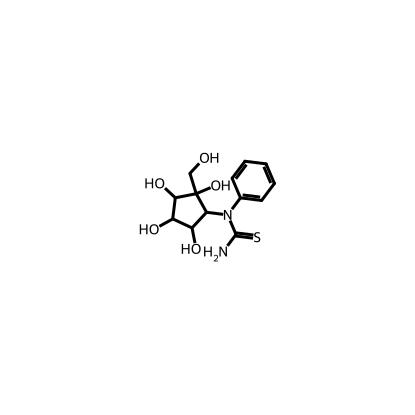 NC(=S)N(c1ccccc1)C1C(O)C(O)C(O)C1(O)CO